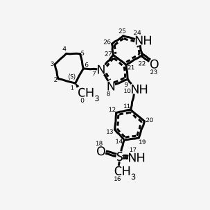 C[C@H]1CCCCC1n1nc(Nc2ccc(S(C)(=N)=O)cc2)c2c(=O)[nH]ccc21